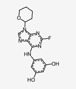 Oc1cc(O)cc(Nc2nc(F)nc3c2ncn3C2CCCCO2)c1